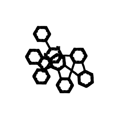 c1ccc(-c2cc(-c3cccc4c3C3(c5ccccc5-4)c4ccccc4-c4c3ccc3c4oc4ccccc43)nc(-c3ccccc3)n2)cc1